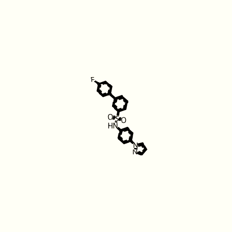 O=S(=O)(Nc1ccc(-n2cccn2)cc1)c1cccc(-c2ccc(F)cc2)c1